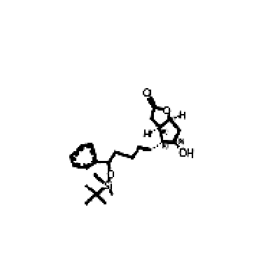 CC(C)(C)[Si](C)(C)OC(CCCC[C@@H]1[C@H]2CC(=O)O[C@H]2C[C@H]1O)c1ccccc1